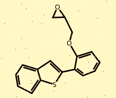 c1ccc(-c2cc3ccccc3s2)c(OCC2CO2)c1